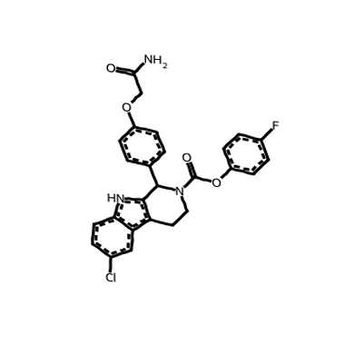 NC(=O)COc1ccc(C2c3[nH]c4ccc(Cl)cc4c3CCN2C(=O)Oc2ccc(F)cc2)cc1